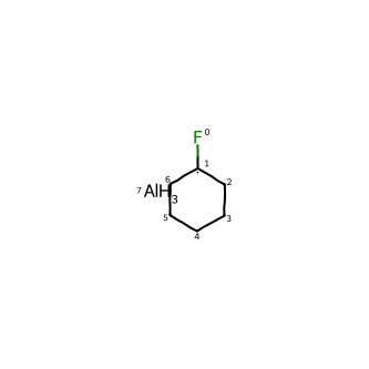 F[C]1CCCCC1.[AlH3]